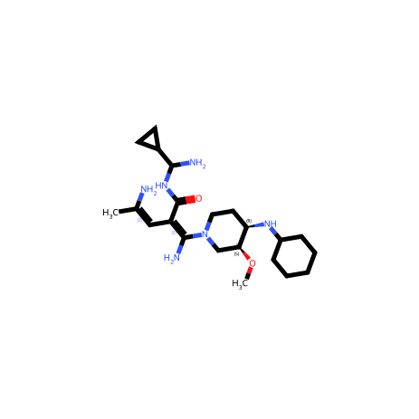 CO[C@H]1CN(/C(N)=C(/C=C(/C)N)C(=O)NC(N)C2CC2)CC[C@H]1NC1CCCCC1